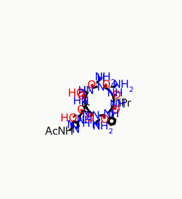 CC(=O)Nc1ncc(N[C@H](CO)C(=O)N[C@H]2CCNC(=O)[C@H]([C@@H](C)O)NC(=O)[C@H](CCN)NC(=O)[C@H](CCN)NC(=O)[C@H](CC(C)C)NC(=O)[C@@H](Cc3ccccc3)NC(=O)[C@H](CCN)NC2=O)cn1